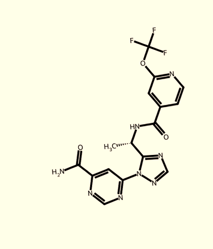 C[C@H](NC(=O)c1ccnc(OC(F)(F)F)c1)c1ncnn1-c1cc(C(N)=O)ncn1